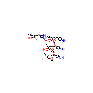 C=CC(C)(C)c1cc(C=CC(=O)c2ccc(NC)cc2)c(OC(C)C)cc1O.C=CCc1cc(C=CC(=O)c2ccc(NC)cc2)c(OC(C)C)cc1O.CC=CCc1cc(C=CC(=O)c2ccc(NC)cc2)c(OC(C)C)cc1O.CCC(C)(C)c1cc(C=CC(=O)c2ccc(NC)cc2)c(OC(C)C)cc1O